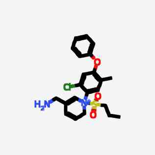 CCCS(=O)(=O)[N+]1(c2cc(C)c(Oc3ccccc3)cc2Cl)C=C(CN)C=CC1